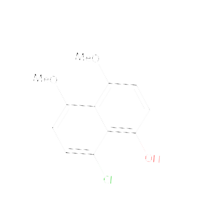 COc1ccc(O)c2c(Cl)ccc(OC)c12